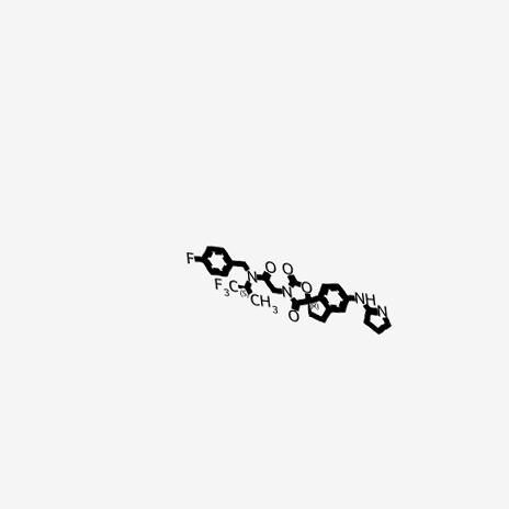 C[C@H](N(Cc1ccc(F)cc1)C(=O)CN1C(=O)O[C@@]2(CCc3cc(NC4=NCCC4)ccc32)C1=O)C(F)(F)F